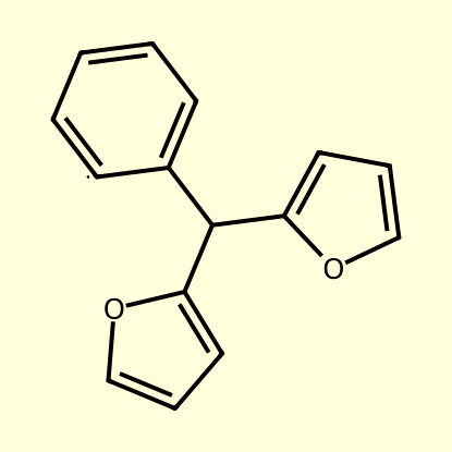 [c]1ccccc1C(c1ccco1)c1ccco1